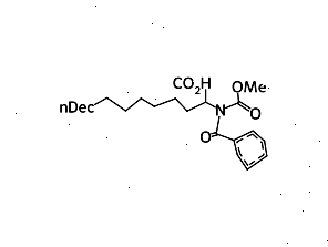 CCCCCCCCCCCCCCCCC(C(=O)O)N(C(=O)OC)C(=O)c1ccccc1